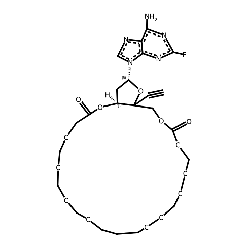 C#CC12COC(=O)CCCCCCCCCCCCCCCCCCC(=O)O[C@H]1C[C@H](n1cnc3c(N)nc(F)nc31)O2